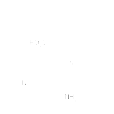 Nc1cnccc1Sc1ccccc1C(=O)O